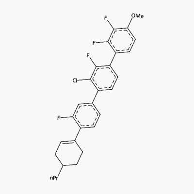 CCCC1CC=C(c2ccc(-c3ccc(-c4ccc(OC)c(F)c4F)c(F)c3Cl)cc2F)CC1